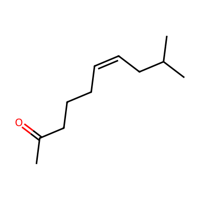 CC(=O)CCC/C=C\CC(C)C